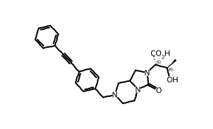 C[C@@H](O)[C@@H](C(=O)O)N1CC2CN(Cc3ccc(C#Cc4ccccc4)cc3)CCN2C1=O